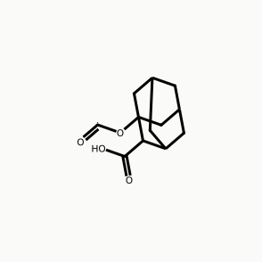 O=[C]OC12CC3CC(CC(C3)C1C(=O)O)C2